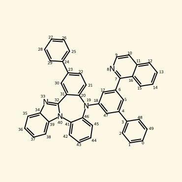 c1ccc(-c2cc(-c3nccc4ccccc34)cc(N3c4ccc(-c5ccccc5)cc4-c4nc5ccccc5n4-c4ccccc43)c2)cc1